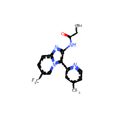 CC(C)(C)CC(=O)Nc1nc2ccc(C(F)(F)F)cn2c1-c1cc(C(F)(F)F)ccn1